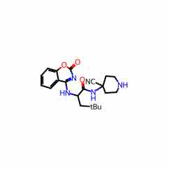 CC(C)(C)CC(Nc1nc(=O)oc2ccccc12)C(=O)NC1(C#N)CCNCC1